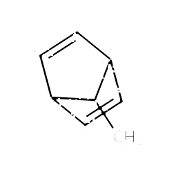 CC1C2C=CC1C=C2